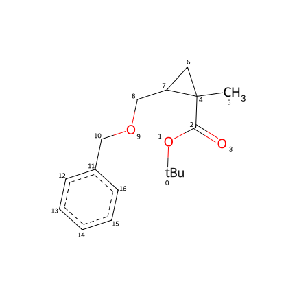 CC(C)(C)OC(=O)C1(C)CC1COCc1ccccc1